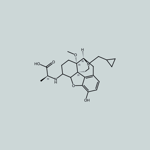 CO[C@@]12CCC(N[C@@H](C)C(=O)O)C3Oc4c(O)ccc5c4[C@@]31CCN(CC1CC1)[C@@H]2C5